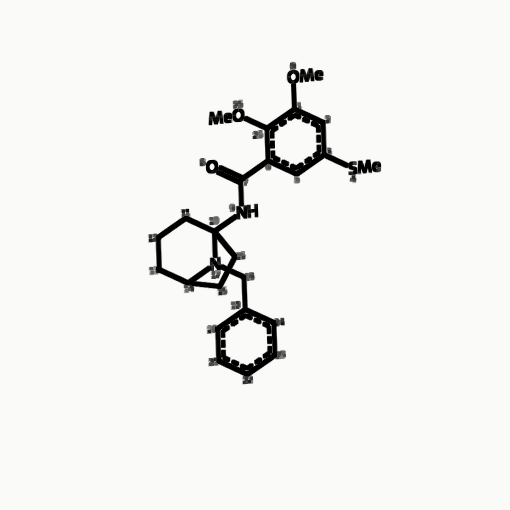 COc1cc(SC)cc(C(=O)NC23CCCC(CC2)N3Cc2ccccc2)c1OC